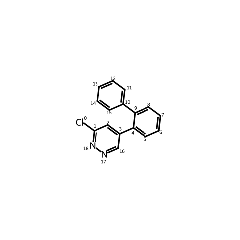 Clc1cc(-c2ccccc2-c2ccccc2)cnn1